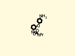 CCCC(=O)Oc1c(N)cccc1Oc1ccc(N)cc1